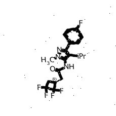 CC(C)c1c(-c2ccc(F)cc2)nn(C)c1NC(=O)C[C@@H]1CC(F)(F)C1(F)F